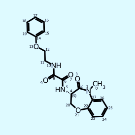 CN1C(=O)[C@@H](NC(=O)C(=O)NCCOc2ccccc2)COc2ccccc21